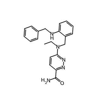 CCN(Cc1ccccc1NCc1ccccc1)c1ccc(C(N)=O)nn1